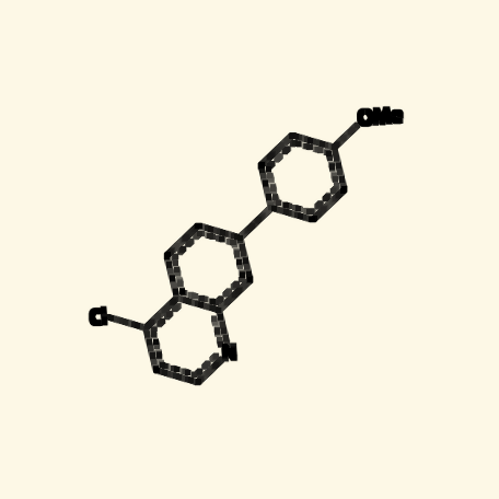 COc1ccc(-c2ccc3c(Cl)ccnc3c2)cc1